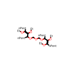 CCCCCC(OCC)=C(OCC)C(CCCCC)OCOCOC(CCCCC)C(OCC)=C(CCCCC)OCC